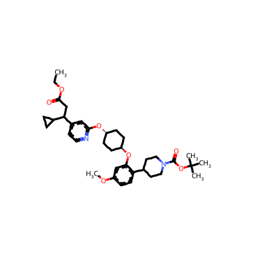 CCOC(=O)CC(c1ccnc(O[C@H]2CC[C@H](Oc3cc(OC)ccc3C3CCN(C(=O)OC(C)(C)C)CC3)CC2)c1)C1CC1